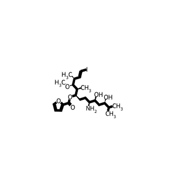 CO[C@@H]([C@@H](C)[C@@H](CC[C@H](N)[C@@H](O)C[C@H](O)C(C)C)OC(=O)c1ccco1)[C@H](C)/C=C/I